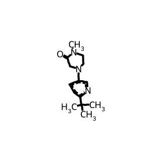 CN1CCN(c2ccc(C(C)(C)C)nc2)CC1=O